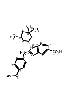 CC(C)Oc1ccc(Nc2nc3cc(C(=O)O)ccc3n2[C@@H]2C[C@H](C)CC(C)(C)C2)cc1